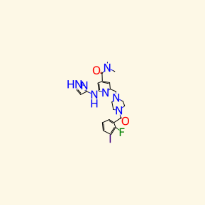 CN(C)C(=O)c1cc(CN2CCN(C(=O)c3cccc(I)c3F)CC2)nc(Nc2cc[nH]n2)c1